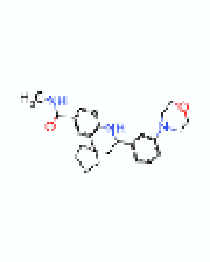 CNC(=O)c1ccc2c(c1)C1(CCCC1)CC(c1cccc(N3CCOCC3)c1)N2